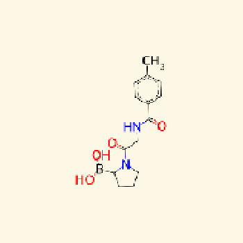 Cc1ccc(C(=O)NCC(=O)N2CCCC2B(O)O)cc1